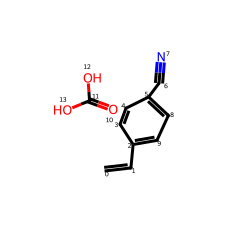 C=Cc1ccc(C#N)cc1.O=C(O)O